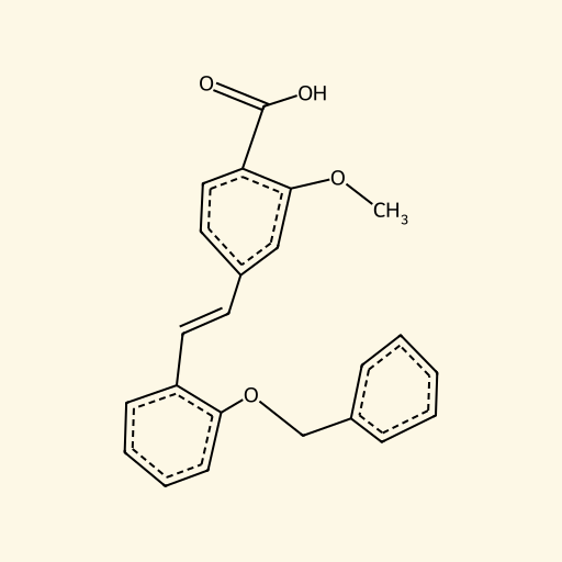 COc1cc(/C=C/c2ccccc2OCc2ccccc2)ccc1C(=O)O